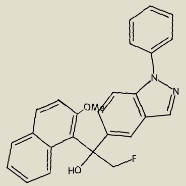 COc1ccc2ccccc2c1C(O)(CF)c1ccc2c(cnn2-c2ccccc2)c1